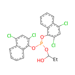 CCC(O)OP(Oc1c(Cl)cc(Cl)c2ccccc12)Oc1c(Cl)cc(Cl)c2ccccc12